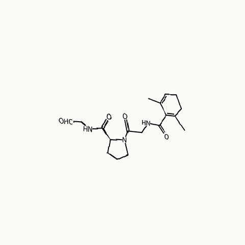 CC1=CCCC(C)=C1C(=O)NCC(=O)N1CCC[C@H]1C(=O)NCC=O